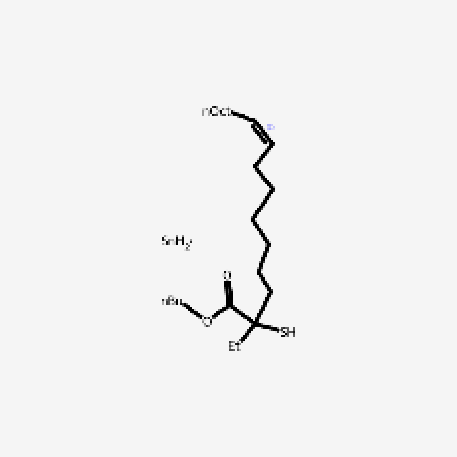 CCCCCCCC/C=C\CCCCCCC(S)(CC)C(=O)OCCCC.[SnH2]